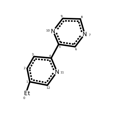 CCc1ccc(-c2cnccn2)nc1